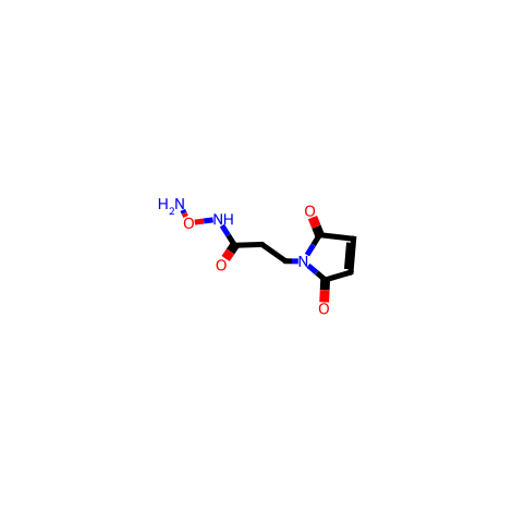 NONC(=O)CCN1C(=O)C=CC1=O